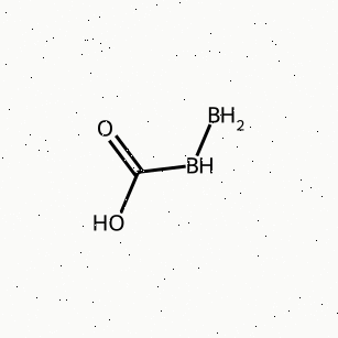 BBC(=O)O